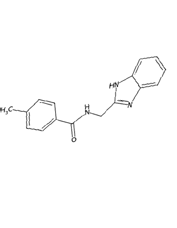 Cc1ccc(C(=O)NCc2nc3ccccc3[nH]2)cc1